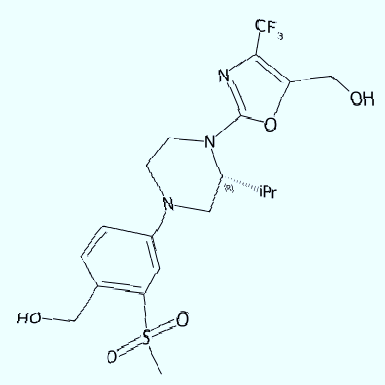 CC(C)[C@@H]1CN(c2ccc(CO)c(S(C)(=O)=O)c2)CCN1c1nc(C(F)(F)F)c(CO)o1